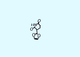 O=C1CCC(C2OC=CO2)C(=O)N1